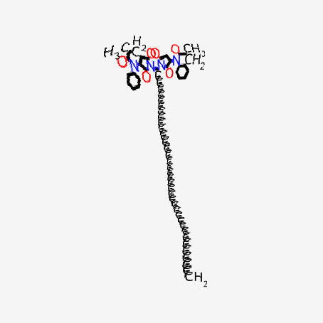 C=C=C=C=C=C=C=C=C=C=C=C=C=C=C=C=C=C=C=C=C=C=C=C=C=C=C=C=C=C=C=C=C=C=C=C(N1C(=O)CC(N(C(=O)C(=C)C)C2CCCCC2)C1=O)N1C(=O)CC(N(C(=O)C(=C)C)C2CCCCC2)C1=O